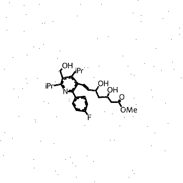 COC(=O)CC(O)CC(O)C=Cc1c(-c2ccc(F)cc2)nc(C(C)C)c(CO)c1C(C)C